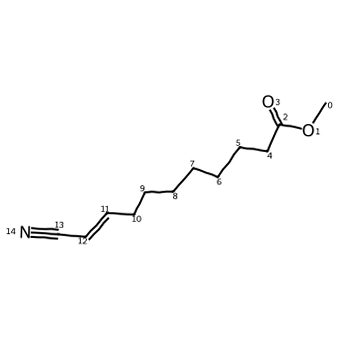 COC(=O)CCCCCCCC=CC#N